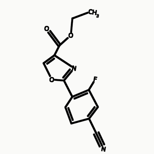 CCOC(=O)c1coc(-c2ccc(C#N)cc2F)n1